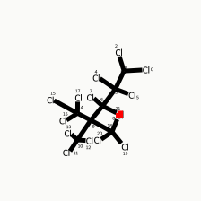 Cl[C](Cl)C(Cl)(Cl)C(Cl)(Cl)C(C(Cl)(Cl)Cl)(C(Cl)(Cl)Cl)C(Cl)(Cl)Cl